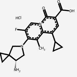 Cc1c(N2C[C@H](N)C3(CC3)C2)c(F)cn2c(=O)c(C(=O)O)cc(C3CC3)c12.Cl